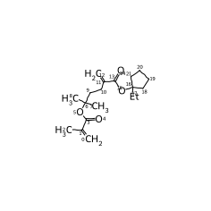 C=C(C)C(=O)OC(C)(C)CCC(=C)C(=O)OC1(CC)CCCC1